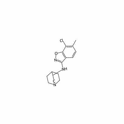 Cc1ccc2c(NC3CN4CCC3CC4)noc2c1Cl